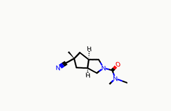 CN(C)C(=O)N1C[C@@H]2C[C@@](C)(C#N)C[C@@H]2C1